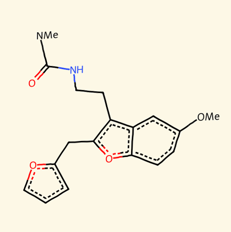 CNC(=O)NCCc1c(Cc2ccco2)oc2ccc(OC)cc12